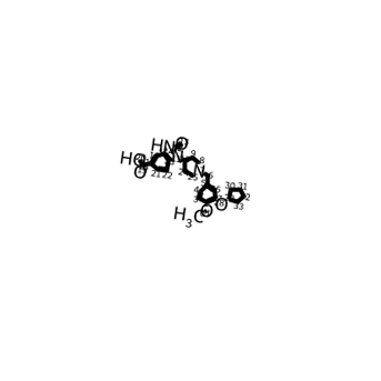 COc1ccc(CN2CCC(n3c(=O)[nH]c4cc(C(=O)O)ccc43)CC2)cc1OC1CCCC1